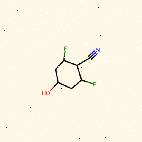 N#CC1C(F)CC(O)CC1F